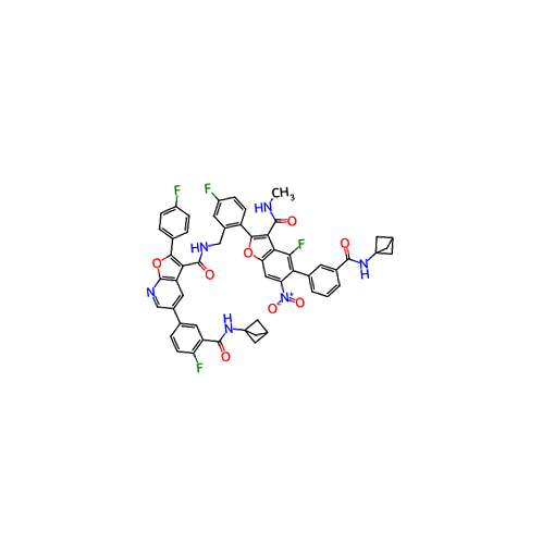 CNC(=O)c1c(-c2ccc(F)cc2CNC(=O)c2c(-c3ccc(F)cc3)oc3ncc(-c4ccc(F)c(C(=O)NC56CC(C5)C6)c4)cc23)oc2cc([N+](=O)[O-])c(-c3cccc(C(=O)NC45CC(C4)C5)c3)c(F)c12